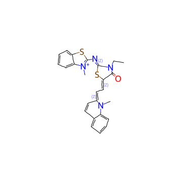 CCN1C(=O)/C(=C/C=C2/C=Cc3ccccc3N2C)S/C1=N\c1sc2ccccc2[n+]1C